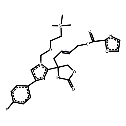 C[Si](C)(C)CCOCn1cc(-c2ccc(F)cc2)nc1C1(C/C=C/CCC(=O)c2ncco2)COC(=O)N1